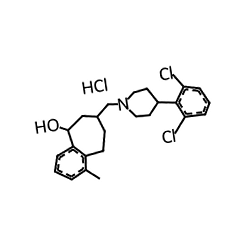 Cc1cccc2c1CCC(CN1CCC(c3c(Cl)cccc3Cl)CC1)CC2O.Cl